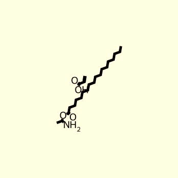 C=CC(=O)O.CCCCCCCCCCCCCCCCCC(=O)OC(C)N